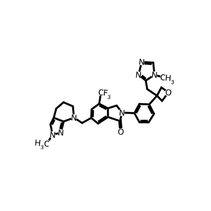 Cn1cc2c(n1)N(Cc1cc3c(c(C(F)(F)F)c1)CN(c1cccc(C4(Cc5nncn5C)COC4)c1)C3=O)CCC2